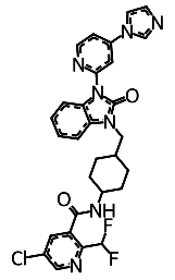 O=C(NC1CCC(Cn2c(=O)n(-c3cc(-n4ccnc4)ccn3)c3ccccc32)CC1)c1cc(Cl)cnc1C(F)F